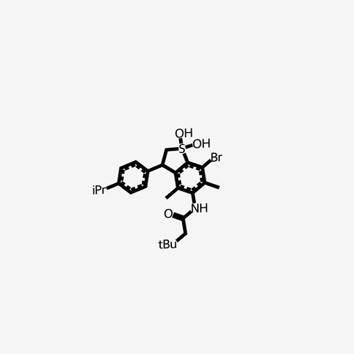 Cc1c(Br)c2c(c(C)c1NC(=O)CC(C)(C)C)C(c1ccc(C(C)C)cc1)CS2(O)O